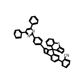 N#Cc1ccccc1-c1ccc2c(c1)C1(c3ccccc3Sc3ccccc31)c1cc(-c3ccc(-c4nc(-c5ccccc5)cc(-c5ccccc5)n4)cc3)ccc1-2